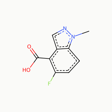 Cn1ncc2c(C(=O)O)c(F)ccc21